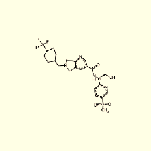 CS(=O)(=O)c1ccc([C@H](CO)NC(=O)c2cnc3c(c2)CN(CC2CCC(C(F)(F)F)CC2)C3)nc1